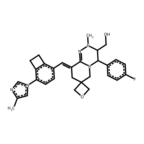 Cc1cn(-c2ccc(/C=C3\CC4(COC4)CN4C3=NN(C)C(CO)C4c3ccc(F)cc3)c3c2CC3)cn1